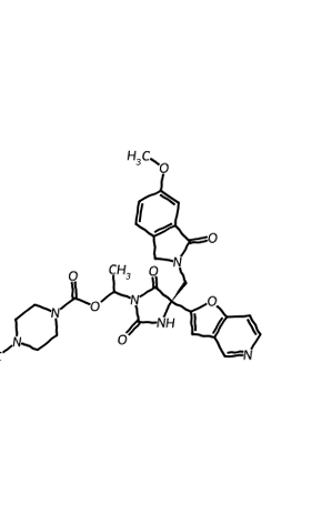 COc1ccc2c(c1)C(=O)N(C[C@@]1(c3cc4cnccc4o3)NC(=O)N(C(C)OC(=O)N3CCN(C)CC3)C1=O)C2